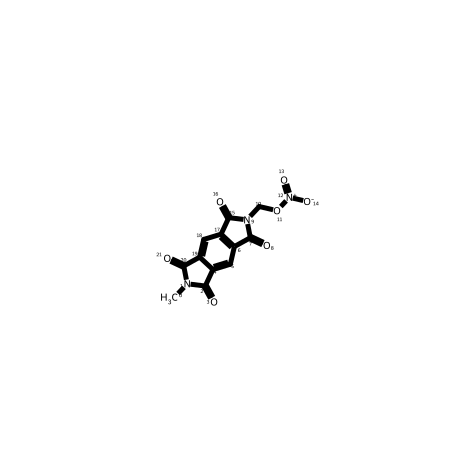 Cn1c(=O)c2cc3c(=O)n(CO[N+](=O)[O-])c(=O)c3cc2c1=O